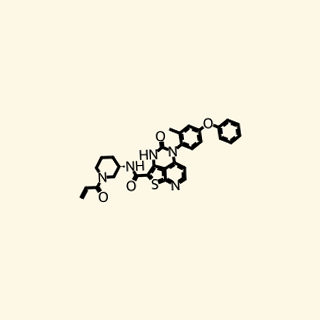 C=CC(=O)N1CCC[C@H](NC(=O)c2sc3nccc4c3c2NC(=O)N4c2ccc(Oc3ccccc3)cc2C)C1